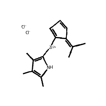 CC(C)=C1C=CC=[C]1[Zr+2][c]1[nH]c(C)c(C)c1C.[Cl-].[Cl-]